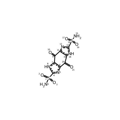 NS(=O)(=O)c1nc2c([nH]1)C(=O)c1nc(S(N)(=O)=O)[nH]c1C2=O